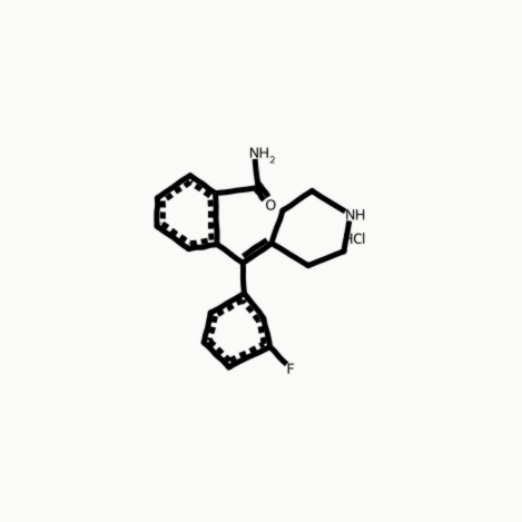 Cl.NC(=O)c1ccccc1C(=C1CCNCC1)c1cccc(F)c1